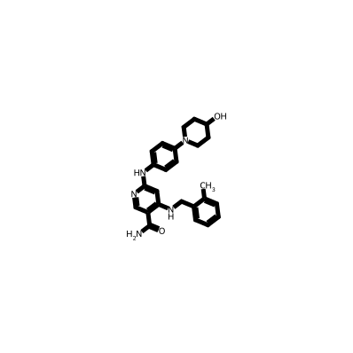 Cc1ccccc1CNc1cc(Nc2ccc(N3CCC(O)CC3)cc2)ncc1C(N)=O